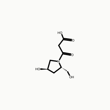 O=C(O)CC(=O)N1C[C@H](O)C[C@H]1CO